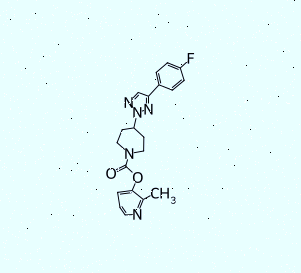 Cc1ncccc1OC(=O)N1CCC(n2ncc(-c3ccc(F)cc3)n2)CC1